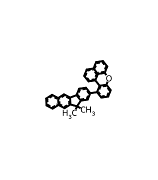 CC1(C)c2cc(-c3cccc4c3-c3cccc5cccc(c35)O4)ccc2-c2cc3ccccc3cc21